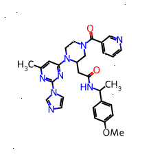 COc1ccc(C(C)NC(=O)CC2CN(C(=O)c3cccnc3)CCN2c2cc(C)nc(-n3ccnc3)n2)cc1